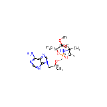 CC(C)OC(=O)[C@@H](C)O[P@@](=O)(CO[C@H](C)Cn1cnc2c(N)ncnc21)NC(C)(C)C(=O)O